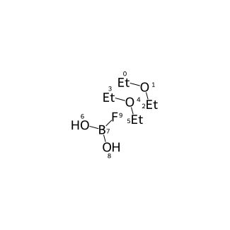 CCOCC.CCOCC.OB(O)F